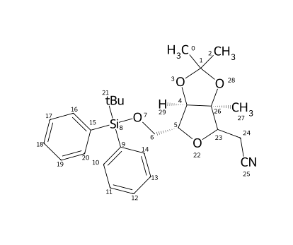 CC1(C)O[C@@H]2[C@@H](CO[Si](c3ccccc3)(c3ccccc3)C(C)(C)C)OC(CC#N)[C@]2(C)O1